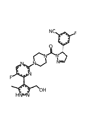 Cc1[nH]nc(CO)c1-c1nc(N2CCN(C(=O)N3N=CC[C@H]3c3cc(F)cc(C#N)c3)CC2)ncc1F